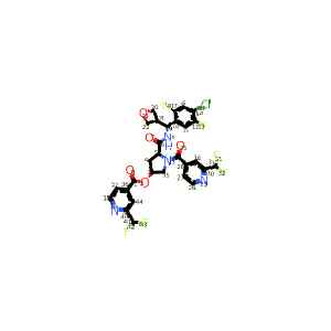 O=C(OC1CC(C(=O)N[C@@H](c2cc(F)c(Cl)cc2F)C2COC2)N(C(=O)c2ccnc(C(F)F)c2)C1)c1ccnc(C(F)F)c1